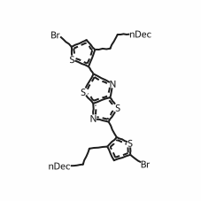 CCCCCCCCCCCCc1cc(Br)sc1-c1nc2sc(-c3sc(Br)cc3CCCCCCCCCCCC)nc2s1